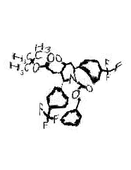 CC(C)(C)OC(=O)C[C@H]1C(=O)C[C@@H](c2ccc(C(F)(F)F)cc2)N(C(=O)OCc2ccccc2)[C@@H]1c1ccc(C(F)(F)F)cc1